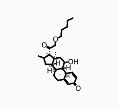 CCCCCOCC(=O)[C@H]1C(C)C[C@H]2[C@@H]3CCC4=CC(=O)C=C[C@]4(C)[C@H]3C(O)C[C@]12C